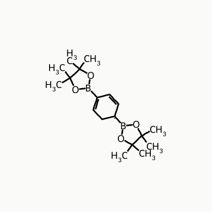 CC1(C)OB([C]2C=CC(B3OC(C)(C)C(C)(C)O3)=CC2)OC1(C)C